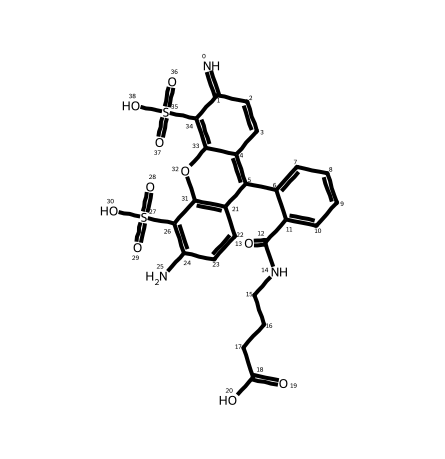 N=c1ccc2c(-c3ccccc3C(=O)NCCCC(=O)O)c3ccc(N)c(S(=O)(=O)O)c3oc-2c1S(=O)(=O)O